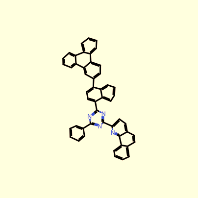 c1ccc(-c2nc(-c3ccc4ccc5ccccc5c4n3)nc(-c3ccc(-c4ccc5c6ccccc6c6ccccc6c5c4)c4ccccc34)n2)cc1